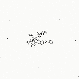 CCNC(=O)NC(CC(C)C)C(=O)NC(Cc1ccc(OCc2ccccc2)cc1)C(=O)OC(C)(C)C